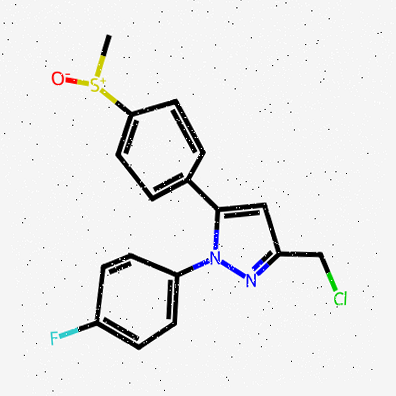 C[S+]([O-])c1ccc(-c2cc(CCl)nn2-c2ccc(F)cc2)cc1